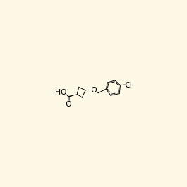 O=C(O)[C@H]1C[C@H](OCc2ccc(Cl)cc2)C1